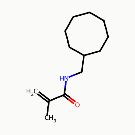 C=C(C)C(=O)NCC1CCCCCCC1